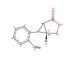 COc1ccccc1C1C2C(=O)OC[C@@H]21